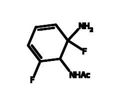 CC(=O)NC1C(F)=CC=CC1(N)F